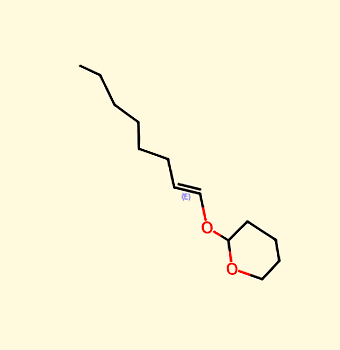 CCCCCC/C=C/OC1CCCCO1